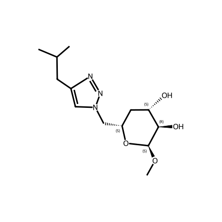 CO[C@H]1O[C@H](Cn2cc(CC(C)C)nn2)C[C@H](O)[C@H]1O